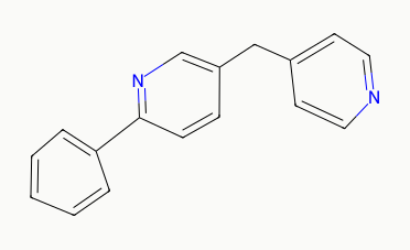 c1ccc(-c2ccc(Cc3ccncc3)cn2)cc1